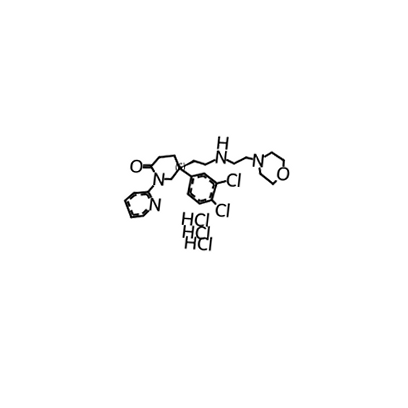 Cl.Cl.Cl.O=C1CC[C@](CCNCCN2CCOCC2)(c2ccc(Cl)c(Cl)c2)CN1c1ccccn1